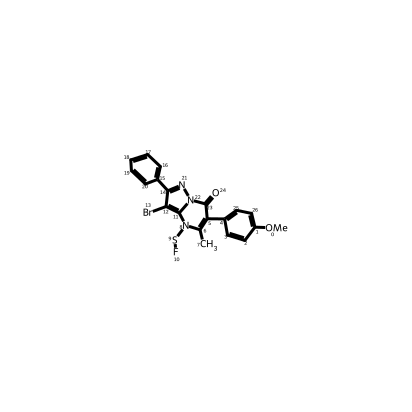 COc1ccc(-c2c(C)n(SF)c3c(Br)c(-c4ccccc4)nn3c2=O)cc1